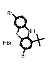 Br.CC(C)(C)c1cc(Br)cc2c1Nc1ccc(Br)cc1S2